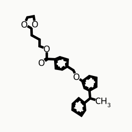 CC(c1ccccc1)c1cccc(OCc2ccc(C(=O)OCCCC3OCCO3)cc2)c1